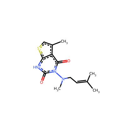 CC(C)=CCN(C)n1c(=O)[nH]c2scc(C)c2c1=O